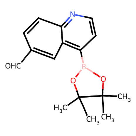 CC1(C)OB(c2ccnc3ccc(C=O)cc23)OC1(C)C